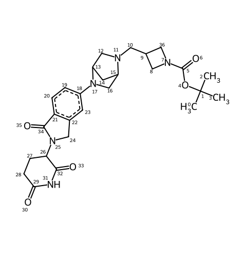 CC(C)(C)OC(=O)N1CC(CN2CC3CC2CN3c2ccc3c(c2)CN(C2CCC(=O)NC2=O)C3=O)C1